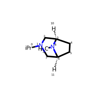 CC(C)N1C[C@H]2CC[C@@H](C1)N2C